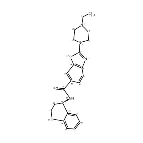 CCN1CCN(c2nc3ccc(C(=O)N[C@@H]4CCOc5ccccc54)cc3s2)CC1